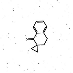 O=C1c2ccccc2CCC12CC2